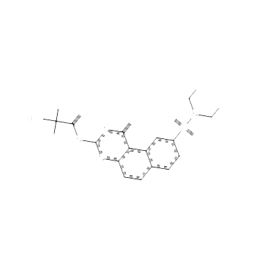 CCN(CC)S(=O)(=O)c1ccc2ccc3nc(NC(=O)C(C)(C)C)[nH]c(=O)c3c2c1